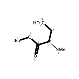 CN[C@@H](CC(=O)O)C(=O)OC(C)(C)C